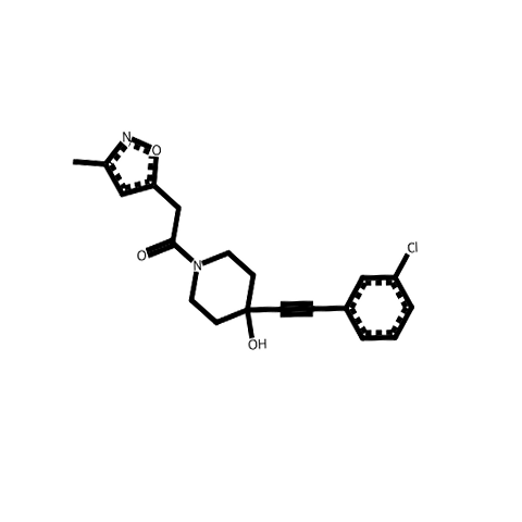 Cc1cc(CC(=O)N2CCC(O)(C#Cc3cccc(Cl)c3)CC2)on1